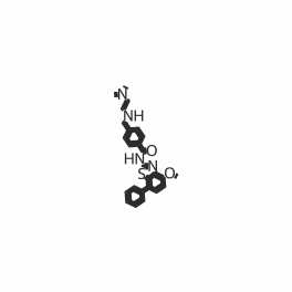 COc1ccc(-c2ccccc2)c2sc(NC(=O)c3ccc(CNCCN(C)C)cc3)nc12